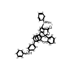 NN(c1ccccc1)c1ccc(-c2ccc(-c3ccc(Nc4ccccc4)cc3)cc2)c2c1C(=O)OC21c2ccccc2Oc2ccccc21